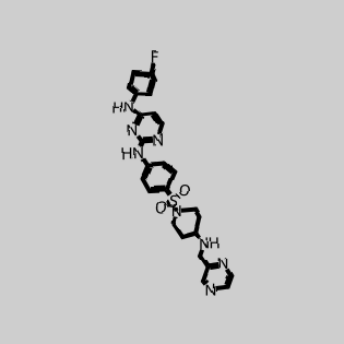 O=S(=O)(c1ccc(Nc2nccc(Nc3ccc(F)cc3)n2)cc1)N1CCC(NCc2cnccn2)CC1